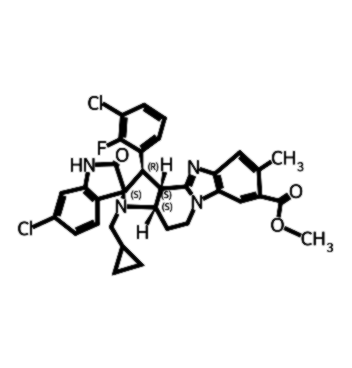 COC(=O)c1cc2c(cc1C)nc1n2CC[C@H]2[C@@H]1[C@H](c1cccc(Cl)c1F)[C@]1(C(=O)Nc3cc(Cl)ccc31)N2CC1CC1